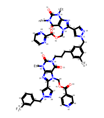 CCCn1c(=O)c2c(nc(-c3cnn(Cc4cc(CCCn5c(=O)c6c(nc(-c7cnn(Cc8cccc(C(F)(F)F)c8)c7)n6COC(=O)c6ccncc6)n(CC)c5=O)cc(C(F)(F)F)c4)c3)n2COC(=O)c2ncccn2)n(CC)c1=O